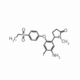 CCS(=O)(=O)c1ccc(Oc2cc(I)c(N)cc2C2CCC(=O)N2C)cc1